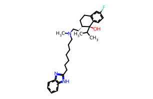 CC(C)[C@@]1(O)c2ccc(F)cc2CC[C@H]1CCN(C)CCCCCCCc1nc2ccccc2[nH]1